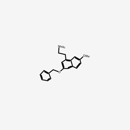 COc1ccc2cc(OCc3ccccc3)cc(CCNC(C)=O)c2c1